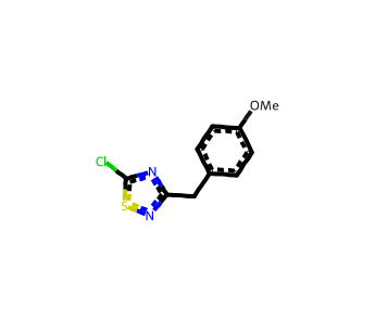 COc1ccc(Cc2nsc(Cl)n2)cc1